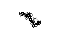 CNC(=O)C1(N2C[C@@H](Cc3ccc(F)cc3)NC2=O)Cc2ccc(NC(=O)[C@@H](NC(=O)c3ccnn3C)C3CCCCC3)cc2C1